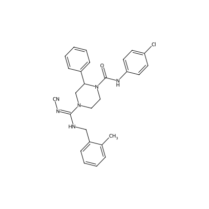 Cc1ccccc1CN/C(=N/C#N)N1CCN(C(=O)Nc2ccc(Cl)cc2)C(c2ccccc2)C1